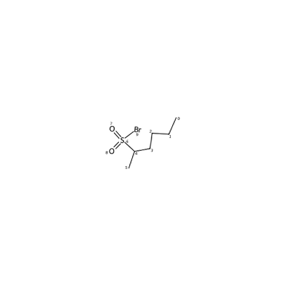 CCCCC(C)S(=O)(=O)Br